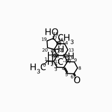 CCC1CC2=CC(=O)CC[C@]2(C)[C@@H]2CC[C@]3(C)C(O)CC[C@H]3[C@H]12